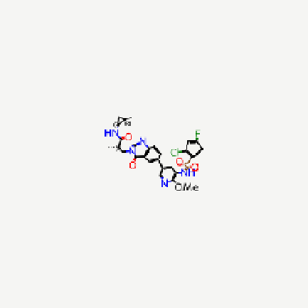 COc1ncc(-c2ccc3ncn(C[C@H](C)C(=O)N[C@@H]4C[C@H]4C)c(=O)c3c2)cc1NS(=O)(=O)c1ccc(F)cc1Cl